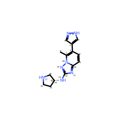 Cc1c(-c2cn[nH]c2)ccc2nc(N[C@@H]3CCNC3)nn12